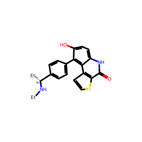 CCN[C@H](CC)c1ccc(-c2c(O)ccc3[nH]c(=O)c4sccc4c23)cc1